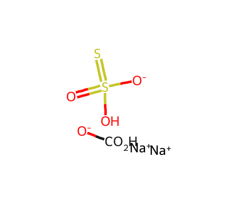 O=C([O-])O.O=S([O-])(O)=S.[Na+].[Na+]